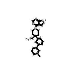 Cc1cccc(-c2cccc(C3(CN)CCN(c4ncnc5[nH]ncc45)CC3)c2)c1